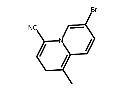 CC1=C2C=CC(Br)=CN2C(C#N)=CC1